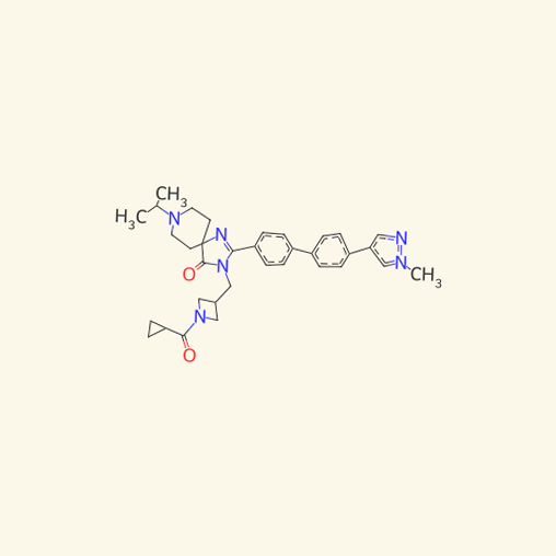 CC(C)N1CCC2(CC1)N=C(c1ccc(-c3ccc(-c4cnn(C)c4)cc3)cc1)N(CC1CN(C(=O)C3CC3)C1)C2=O